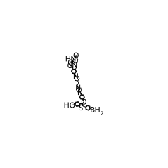 Bc1ccc(-c2sc3cc(O)ccc3c2Oc2ccc(N3CCN(CCC4CCN(c5ccc6c(c5)CN(C5CCC(=O)NC5=O)C6=O)CC4)CC3)cc2)cc1